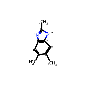 CC1=Nc2cc(C)c(C)cc2[N]1